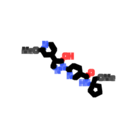 COCC1(NC(=O)c2ccc(-n3ncc(-c4ccnc(OC)c4)c3O)nc2)CCCC1